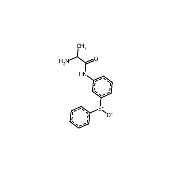 CC(N)C(=O)Nc1cccc([S+]([O-])c2ccccc2)c1